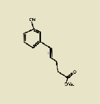 COC(=O)CC/C=C/c1cccc(C#N)c1